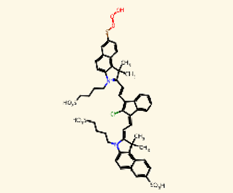 CC1(C)C(=CC=C2C(Cl)=C(C=CC3=[N+](CCCCS(=O)(=O)O)c4ccc5cc(SOOO)ccc5c4C3(C)C)c3ccccc32)N(CCCCS(=O)(=O)O)c2ccc3cc(S(=O)(=O)O)ccc3c21